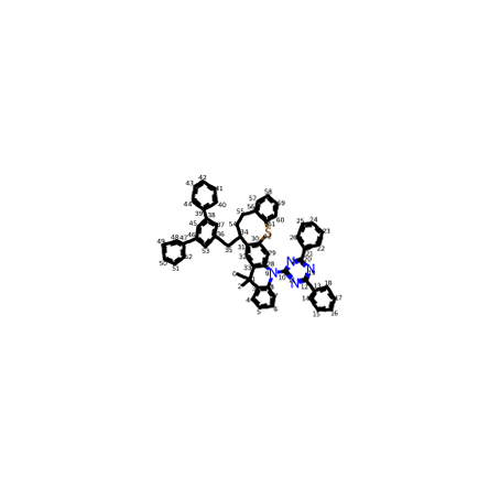 CC1(C)c2ccccc2N(c2nc(-c3ccccc3)nc(-c3ccccc3)n2)c2cc3c(cc21)C(Cc1cc(-c2ccccc2)cc(-c2ccccc2)c1)CCc1ccccc1S3